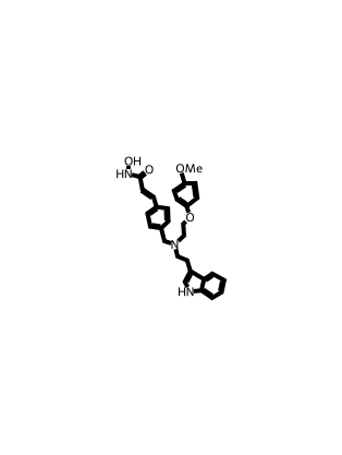 COc1ccc(OCCN(CCc2c[nH]c3ccccc23)Cc2ccc(/C=C/C(=O)NO)cc2)cc1